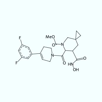 COC(=O)N1CC2(CC2)CC(C(=O)NO)C1C(=O)N1CC=C(c2cc(F)cc(F)c2)CC1